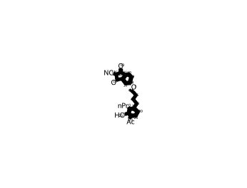 CCCc1c(CCCCOc2ccc3c(c2)C(=O)C(C#N)C3=O)ccc(C(C)=O)c1O